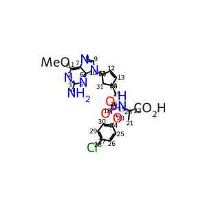 COc1nc(N)nc2c1ncn2[C@H]1C=C[C@@H](COP(=O)(NC(C)C(=O)O)Oc2ccc(Cl)cc2)C1